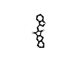 O=C1C(=Cc2csc3ccccc23)C(=O)c2cc3ccccc3cc21